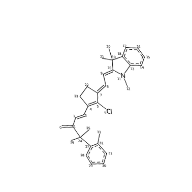 C=C(/C=C/C1=C(Cl)C(=C/C=C2\N(C)c3ccccc3C2(C)C)/CC1)C(C)(C)c1ccccc1C